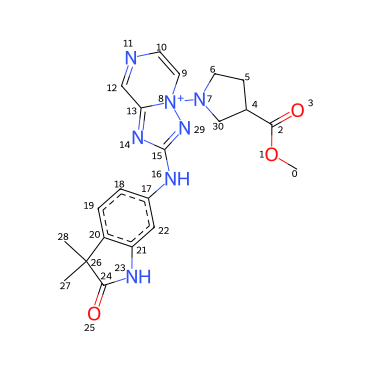 COC(=O)C1CCN([N+]23C=CN=CC2=NC(Nc2ccc4c(c2)NC(=O)C4(C)C)=N3)C1